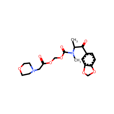 CC(C(=O)c1ccc2c(c1)OCO2)N(C)C(=O)OCOC(=O)CN1CCOCC1